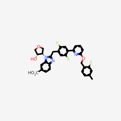 Cc1ccc(COc2cccc(-c3cc(F)c(Cc4nc5ccc(C(=O)O)cc5n4[C@H]4COC[C@H]4O)cc3F)n2)c(F)c1